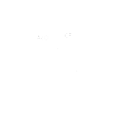 CC(=O)OC1(C(F)(F)F)CCCCC1